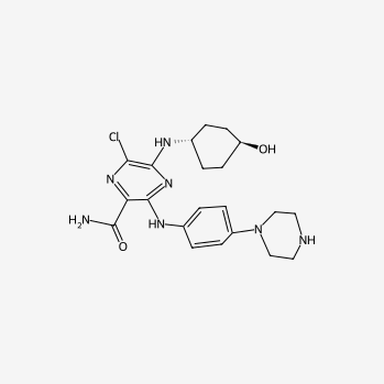 NC(=O)c1nc(Cl)c(N[C@H]2CC[C@H](O)CC2)nc1Nc1ccc(N2CCNCC2)cc1